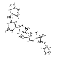 Cc1cc(Nc2nccc(C(F)(F)F)n2)cc(-c2cnc(C3(O)CCC(C(=O)NCc4cocn4)CC3)s2)c1